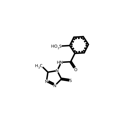 CC1N=NC(=S)N1NC(=O)c1ccccc1S(=O)(=O)O